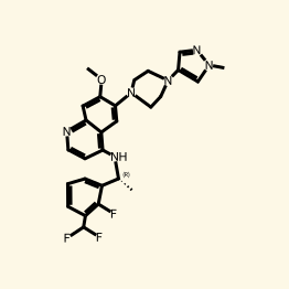 COc1cc2nccc(N[C@H](C)c3cccc(C(F)F)c3F)c2cc1N1CCN(c2cnn(C)c2)CC1